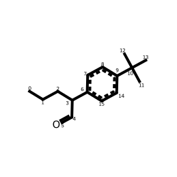 CCCC(C=O)c1ccc(C(C)(C)C)cc1